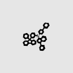 c1ccc(-c2ccc(N(c3cccc(C4(c5ccccc5)c5ccccc5-c5ccccc54)c3)c3ccc(-c4ccccc4)c4ccccc34)cc2)cc1